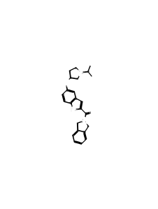 CC(C)N1CCC(Oc2ccc3[nH]c(C(=O)N4Cc5ccccc5C4)cc3c2)C1